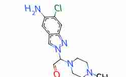 CN1CCN(C(C=O)n2cc3cc(N)c(Cl)cc3n2)CC1